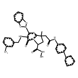 CCCNC(=O)C1CC(C)(CC(=O)Nc2ccc(-c3ccccc3)cc2)c2nc(B3Oc4ccccc4O3)c(NCc3cccc(C(F)(F)F)c3)c(=O)n21